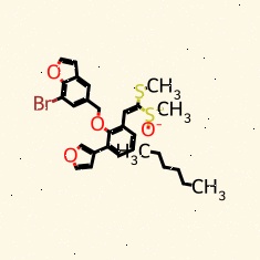 CCCCCC.CSC(=Cc1cccc(-c2ccoc2)c1OCc1cc(Br)c2occc2c1)[S+](C)[O-]